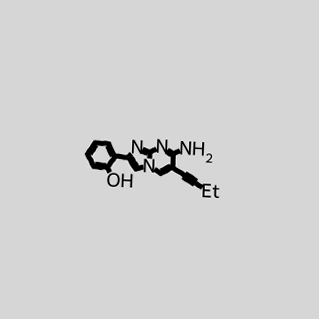 CCC#Cc1cn2cc(-c3ccccc3O)nc2nc1N